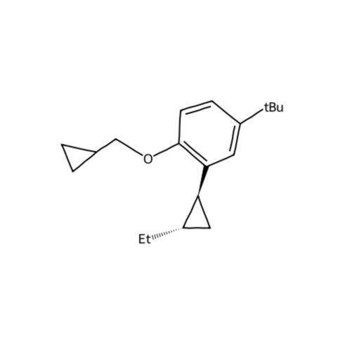 CC[C@H]1C[C@@H]1c1cc(C(C)(C)C)ccc1OCC1CC1